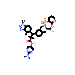 CC[C@@H]1CN(Cc2cc(C(c3ccc4c(nnn4CC)c3C)C(C)(C)C(=O)Nc3cnc(N(C)C)nc3)ccc2C)S(=O)(=O)c2cccnc2O1